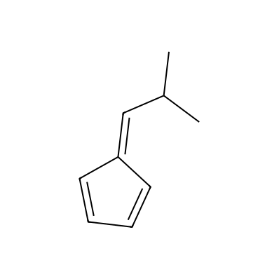 CC(C)C=C1C=CC=C1